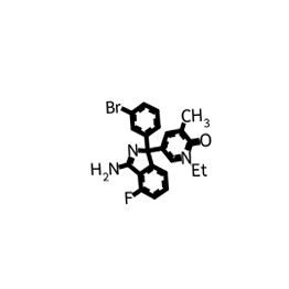 CCn1cc(C2(c3cccc(Br)c3)N=C(N)c3c(F)cccc32)cc(C)c1=O